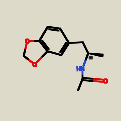 CC(=O)N[C@H](C)Cc1ccc2c(c1)OCO2